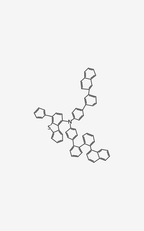 c1ccc(-c2ccc(N(c3ccc(-c4cccc(-c5ccc6ccccc6c5)c4)cc3)c3ccc(-c4ccccc4-c4ccccc4-c4cccc5ccccc45)cc3)c3c2sc2ccccc23)cc1